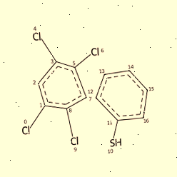 Clc1cc(Cl)c(Cl)cc1Cl.Sc1ccccc1